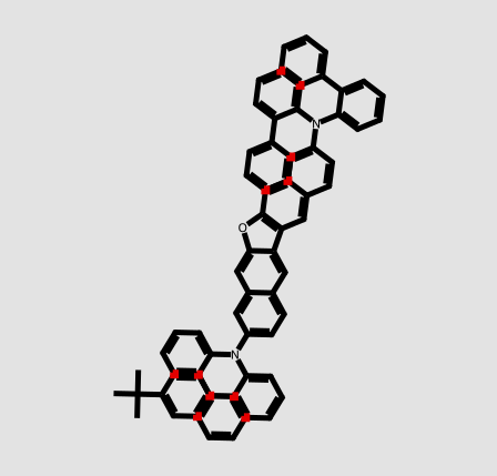 CC(C)(C)c1ccc(-c2ccccc2N(c2ccc3cc4c(cc3c2)oc2cc3cc(N(c5ccccc5-c5ccccc5)c5ccccc5-c5ccccc5)ccc3cc24)c2ccccc2-c2ccccc2)cc1